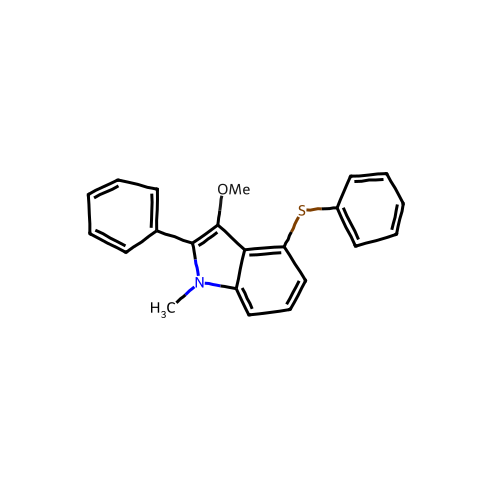 COc1c(-c2ccccc2)n(C)c2cccc(Sc3ccccc3)c12